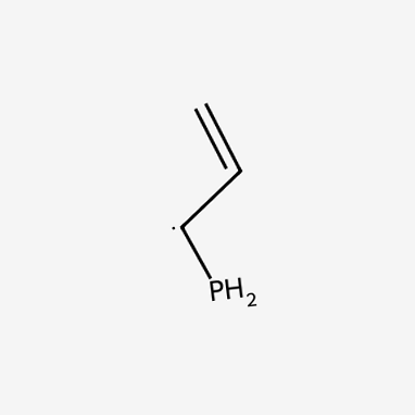 C=C[CH]P